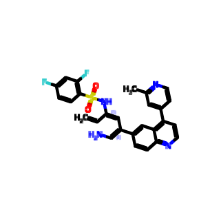 C=C/C(=C\C(=C/N)c1ccc2nccc(-c3ccnc(C)c3)c2c1)NS(=O)(=O)c1ccc(F)cc1F